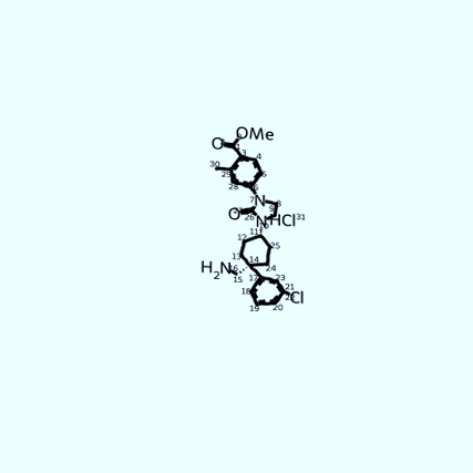 COC(=O)c1ccc(N2CCN([C@H]3CC[C@](CN)(c4cccc(Cl)c4)CC3)C2=O)cc1C.Cl